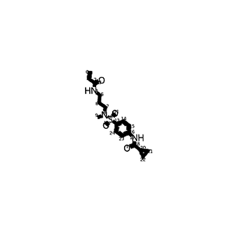 C=CC(=O)NCCCN(C)S(=O)(=O)c1ccc(NC(=O)C2CC2)cc1